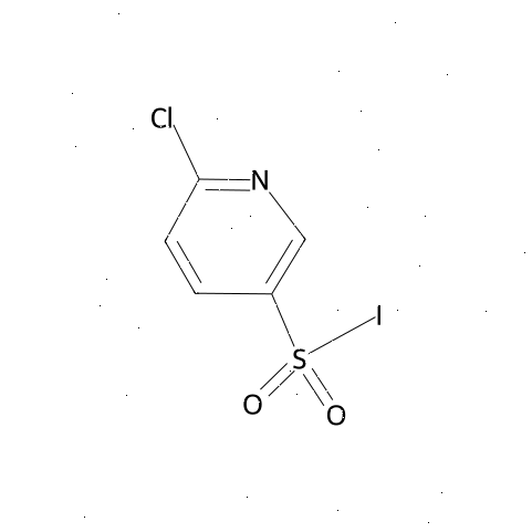 O=S(=O)(I)c1ccc(Cl)nc1